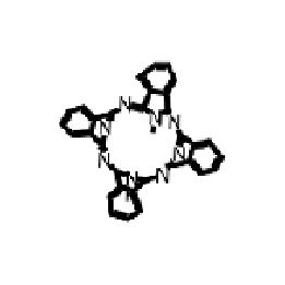 Cn1/c2c3ccccc3/c1=N\C1=NC(=N\C3NC(/N=C4N=C(/N=2)c2ccccc2\4)c2ccccc23)/c2ccccc21